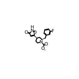 COC(=O)N1CC[C@@H](c2cc(=O)[nH]o2)C[C@H]1Cc1cccc(F)c1